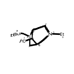 CCN1CC2C(O)C1CN2C(C)(C)C